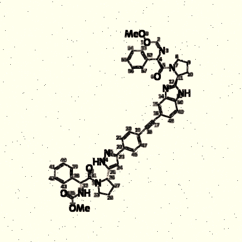 COO/C=N\[C@@H](C(=O)N1CCC[C@H]1c1nc2cc(C#Cc3ccc(-c4cc([C@@H]5CCCN5C(=O)[C@H](NC(=O)OC)c5ccccc5)[nH]n4)cc3)ccc2[nH]1)c1ccccc1